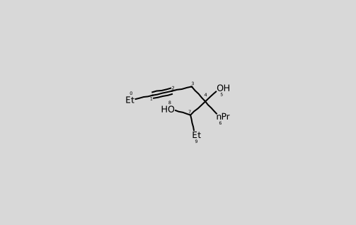 [CH2]CC#CCC(O)(CCC)C(O)CC